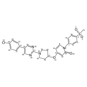 CS(=O)(=O)c1ccc(-n2ccc(OC3CCN(c4ncc(-c5ccc(Cl)cc5)cn4)CC3)cc2=O)cc1